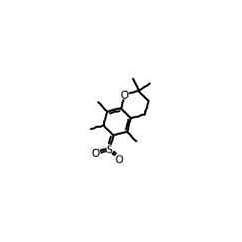 CC1=C2CCC(C)(C)OC2=C(C)C(C)C1=S(=O)=O